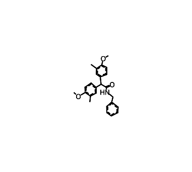 COc1ccc(C(C(=O)NCc2ccccc2)c2ccc(OC)c(C)c2)cc1C